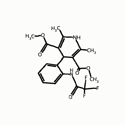 COC(=O)C1=C(C)NC(C)=C(C(=O)OC)C1c1ccccc1NC(=O)C(F)(F)F